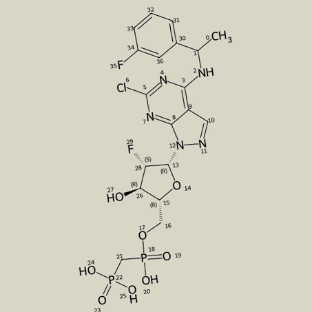 CC(Nc1nc(Cl)nc2c1cnn2[C@@H]1O[C@H](COP(=O)(O)CP(=O)(O)O)[C@@H](O)[C@@H]1F)c1cccc(F)c1